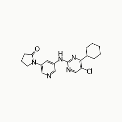 O=C1CCCN1c1cncc(Nc2ncc(Cl)c(C3CCCCC3)n2)c1